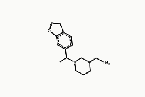 CC(c1ccc2c(c1)OCC2)N1CCCC(CN)C1